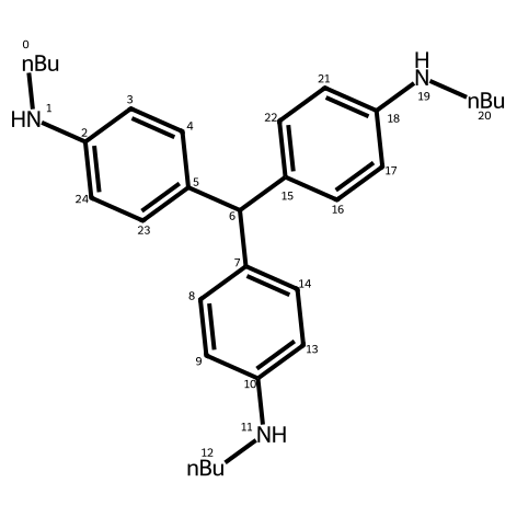 CCCCNc1ccc(C(c2ccc(NCCCC)cc2)c2ccc(NCCCC)cc2)cc1